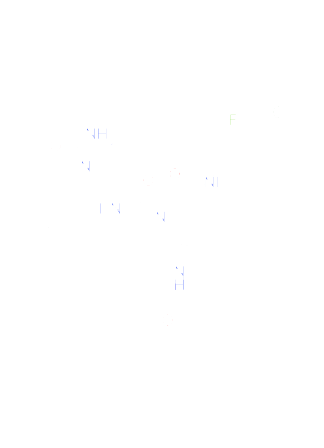 COCCN[C@H]1C[C@@H](C(=O)NCc2cccc(Cl)c2F)N(C(=O)Nc2cn(C(N)=O)c3ccccc23)C1